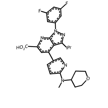 CC(C)c1nn(-c2cc(F)cc(F)c2)c2nc(C(=O)O)cc(-c3ccc(N(C)C4CCOCC4)nc3)c12